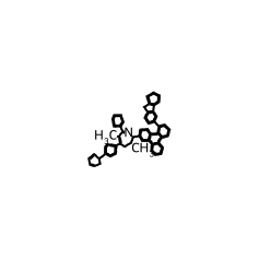 CC1=C(c2ccc(C3C=CC=CC3)cc2)CC(C)C(c2ccc3c(c2)c2ccccc2c2cccc(-c4ccc5c(c4)-c4ccccc4C5)c23)N=C1c1ccccc1